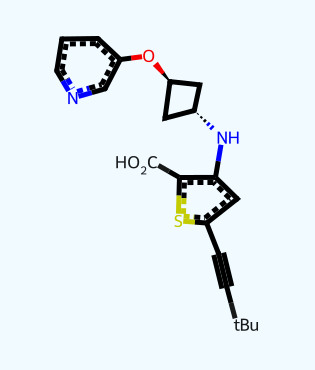 CC(C)(C)C#Cc1cc(N[C@H]2C[C@H](Oc3cccnc3)C2)c(C(=O)O)s1